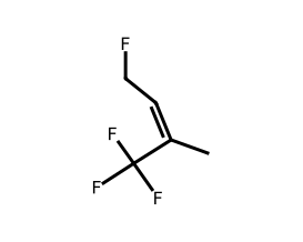 CC(=CCF)C(F)(F)F